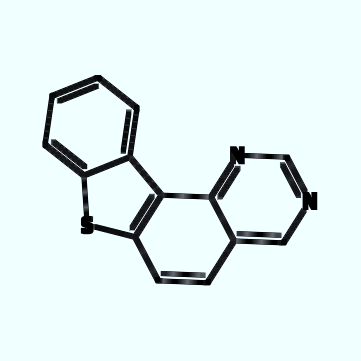 c1ccc2c(c1)sc1ccc3cncnc3c12